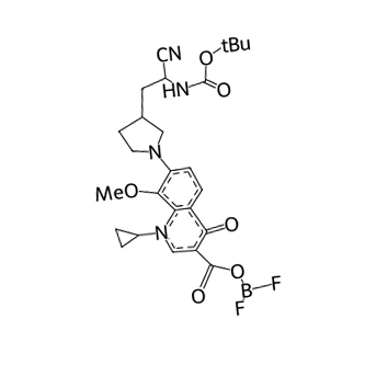 COc1c(N2CCC(CC(C#N)NC(=O)OC(C)(C)C)C2)ccc2c(=O)c(C(=O)OB(F)F)cn(C3CC3)c12